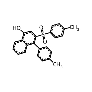 Cc1ccc(-c2c(S(=O)(=O)c3ccc(C)cc3)cc(O)c3ccccc23)cc1